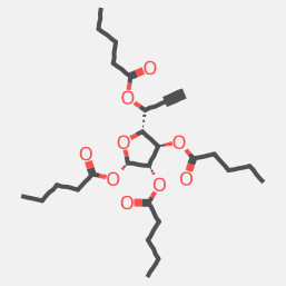 C#CC(OC(=O)CCCC)[C@H]1O[C@@H](OC(=O)CCCC)[C@@H](OC(=O)CCCC)[C@@H]1OC(=O)CCCC